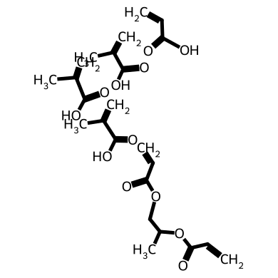 C=C(C)C(=O)O.C=C(C)C(=O)O.C=C(C)C(=O)O.C=CC(=O)O.C=CC(=O)OCC(C)OC(=O)C=C